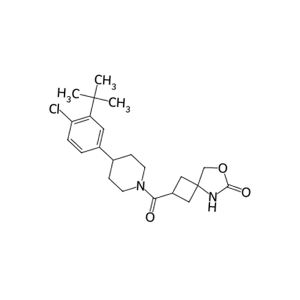 CC(C)(C)c1cc(C2CCN(C(=O)C3CC4(COC(=O)N4)C3)CC2)ccc1Cl